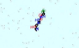 Cc1ccc(C2(O)CCC(N3C[C@H](NC(=O)CNC(=O)c4cccc(C(F)(F)F)c4)C[C@@H]3C)CC2)cn1